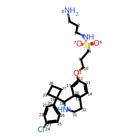 NCCCNS(=O)(=O)CCCOc1ccc2c(c1)C(C1(c3ccc(Cl)cc3)CCC1)NCC2